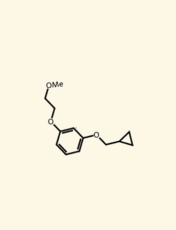 COCCOc1[c]c(OCC2CC2)ccc1